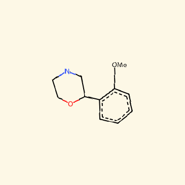 COc1ccccc1C1C[N]CCO1